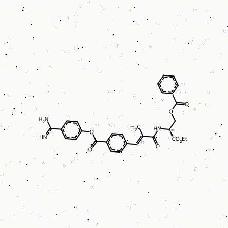 CCOC(=O)[C@H](COC(=O)c1ccccc1)NC(=O)/C(C)=C/c1ccc(C(=O)Oc2ccc(C(=N)N)cc2)cc1